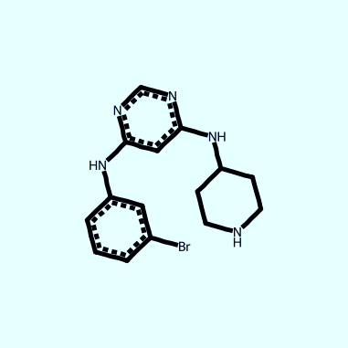 Brc1cccc(Nc2cc(NC3CCNCC3)ncn2)c1